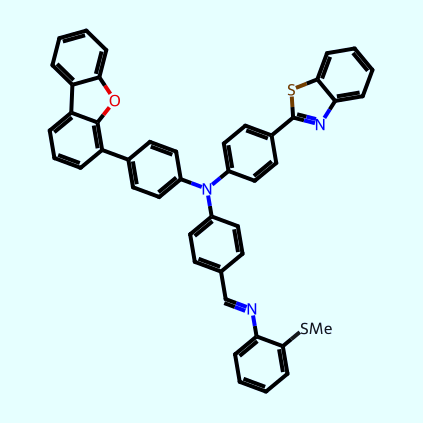 CSc1ccccc1/N=C/c1ccc(N(c2ccc(-c3nc4ccccc4s3)cc2)c2ccc(-c3cccc4c3oc3ccccc34)cc2)cc1